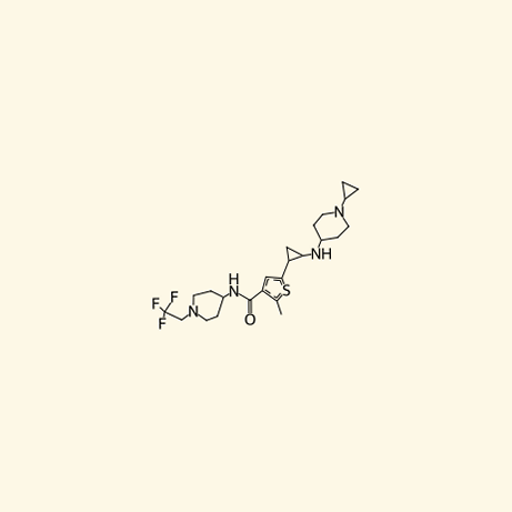 Cc1sc(C2CC2NC2CCN(C3CC3)CC2)cc1C(=O)NC1CCN(CC(F)(F)F)CC1